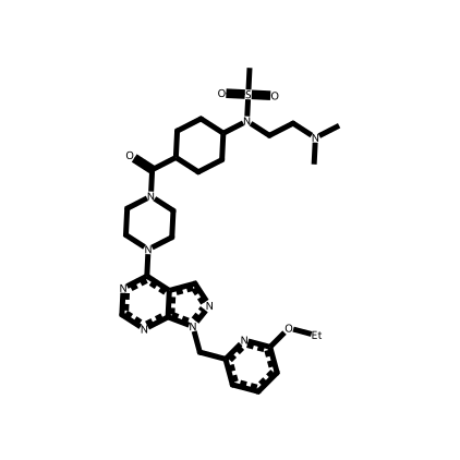 CCOc1cccc(Cn2ncc3c(N4CCN(C(=O)C5CCC(N(CCN(C)C)S(C)(=O)=O)CC5)CC4)ncnc32)n1